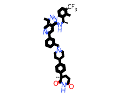 Cc1c([C@@H](C)Nc2nnc(C)c3cnc(-c4cccc(CN5CCC(c6ccc([C@@]7(C)CCC(=O)NC7=O)cc6)CC5)c4)cc23)cccc1C(F)(F)F